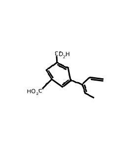 C=C/C(=C\C)c1cc(C(=O)O)cc(C(=O)O)c1